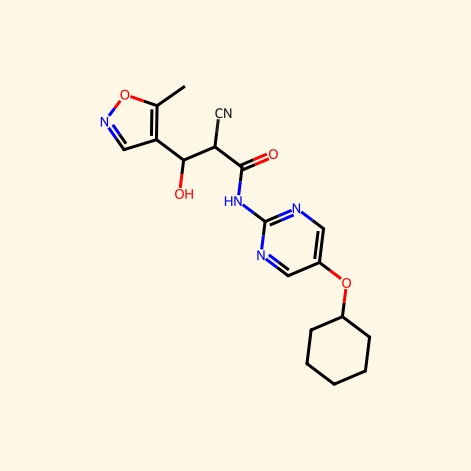 Cc1oncc1C(O)C(C#N)C(=O)Nc1ncc(OC2CCCCC2)cn1